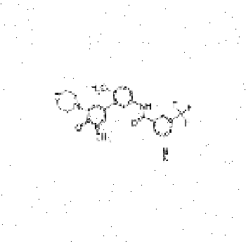 Cc1ccc(NC(=O)c2cc(C#N)cc(C(F)(F)F)c2)cc1-c1cc(N2CCOCC2)c(=O)n(C)c1